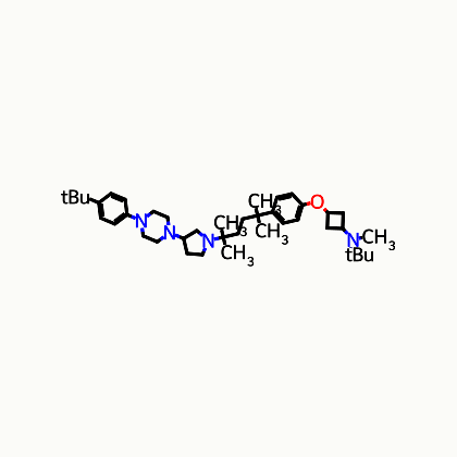 CN(C1CC(Oc2ccc(C(C)(C)CCC(C)(C)N3CCC(N4CCN(c5ccc(C(C)(C)C)cc5)CC4)C3)cc2)C1)C(C)(C)C